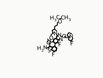 CC(C)OCCCC1CC2COc3c(Cl)c(-c4ccc(F)c5sc(N)c(C#N)c45)c(F)c4nc(OC[C@@]56CCCN5C[C@H](F)C6)nc(c34)N2C1